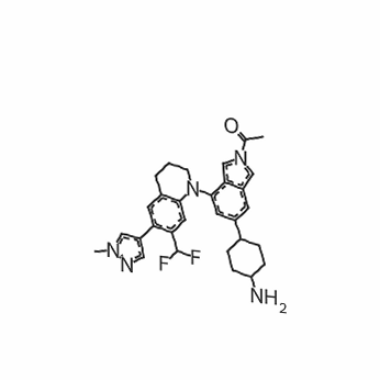 CC(=O)n1cc2cc(C3CCC(N)CC3)cc(N3CCCc4cc(-c5cnn(C)c5)c(C(F)F)cc43)c2c1